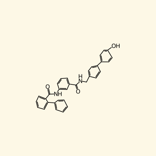 O=C(NCc1ccc(-c2ccc(O)cc2)cc1)c1cccc(NC(=O)c2ccccc2-c2ccccc2)c1